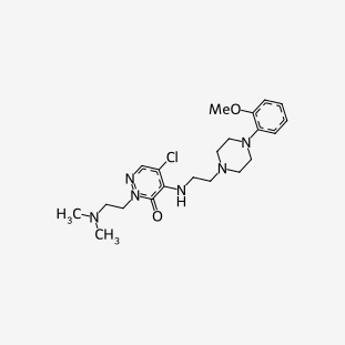 COc1ccccc1N1CCN(CCNc2c(Cl)cnn(CCN(C)C)c2=O)CC1